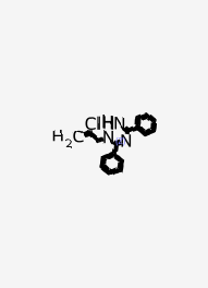 C=C(Cl)CN/C(=N\C(=N)c1ccccc1)c1ccccc1